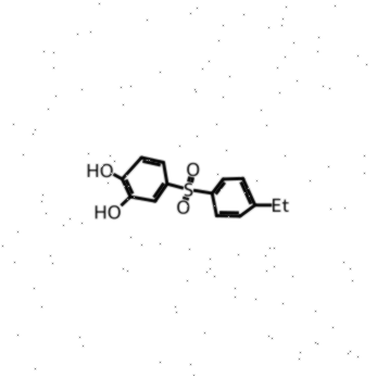 CCc1ccc(S(=O)(=O)c2ccc(O)c(O)c2)cc1